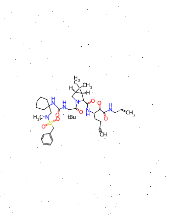 C#CCCC(NC(=O)[C@@H]1[C@@H]2[C@H](CN1C(=O)[C@@H](NC(=O)NC1(CN(C)S(=O)(=O)Cc3ccccc3)CCCCC1)C(C)(C)C)C2(C)C)C(=O)C(=O)NCC=C